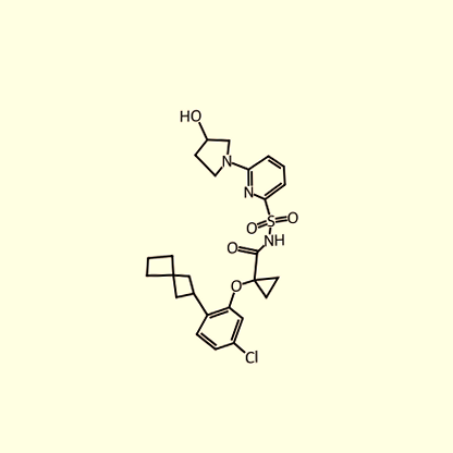 O=C(NS(=O)(=O)c1cccc(N2CCC(O)C2)n1)C1(Oc2cc(Cl)ccc2C2CC3(CCC3)C2)CC1